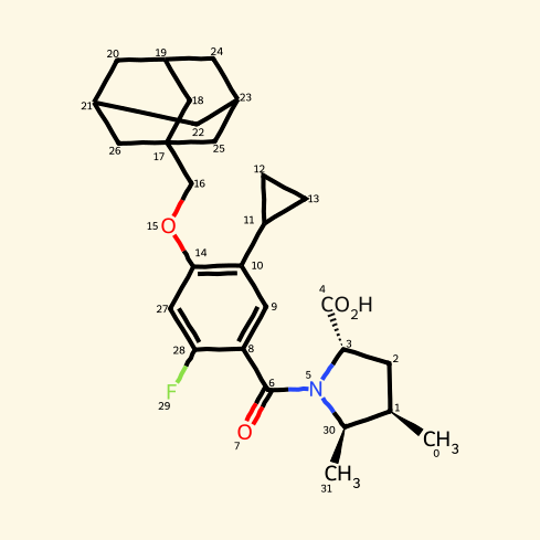 C[C@@H]1C[C@@H](C(=O)O)N(C(=O)c2cc(C3CC3)c(OCC34CC5CC(CC(C5)C3)C4)cc2F)[C@@H]1C